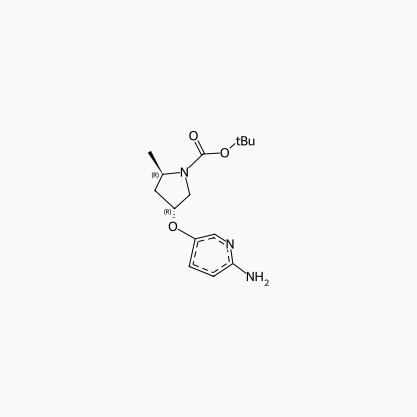 C[C@@H]1C[C@@H](Oc2ccc(N)nc2)CN1C(=O)OC(C)(C)C